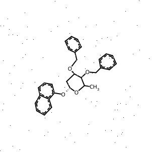 CC1O[C@H](Oc2cccc3ccccc23)C[C@@H](OCc2ccccc2)C1OCc1ccccc1